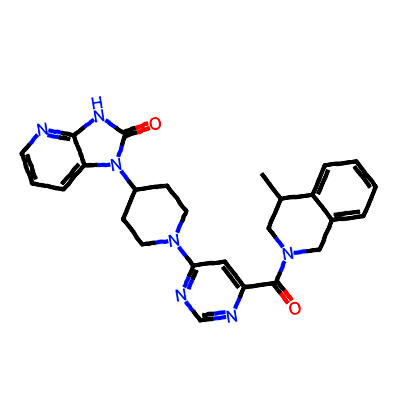 CC1CN(C(=O)c2cc(N3CCC(n4c(=O)[nH]c5ncccc54)CC3)ncn2)Cc2ccccc21